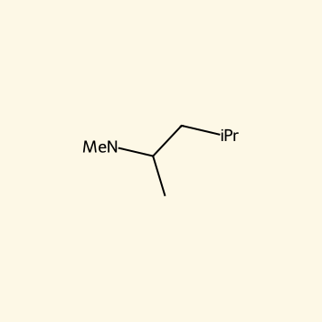 [C]NC(C)CC(C)C